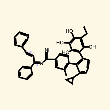 CCc1c(O)c(O)c(O)c(-c2cccc(C3CC3)c2-c2ccc(C(=N)/N=C(\C=C\c3ccccc3)c3ccccc3)cc2C)c1O